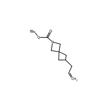 C=CCC1CC2(C1)CN(C(=O)OC(C)(C)C)C2